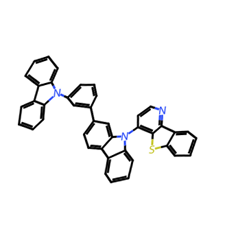 c1cc(-c2ccc3c4ccccc4n(-c4ccnc5c4sc4ccccc45)c3c2)cc(-n2c3ccccc3c3ccccc32)c1